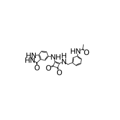 CC(=O)Nc1cccc(CNc2c(Nc3ccc4[nH][nH]c(=O)c4c3)c(=O)c2=O)c1